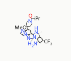 COC1(c2cc3c(N[C@H](C)c4cc(N)cc(C(F)(F)F)c4)nc(C)nc3n3ccnc23)CCN(C(=O)C(C)C)CC1